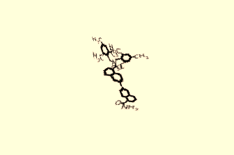 Cc1cc(C)c(CN(Cc2c(C)cc(C)cc2C)C(=O)c2cccc3cc(-c4ccc5c(C(N)=O)cccc5c4)ccc23)c(C)c1